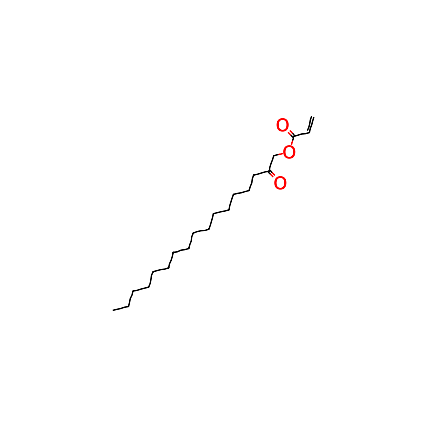 C=CC(=O)OCC(=O)CCCCCCCCCCCCCCC